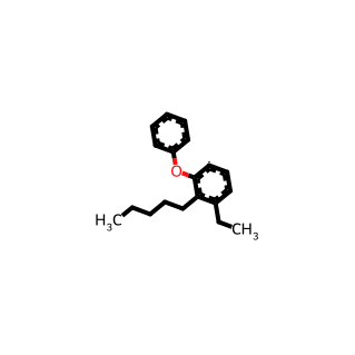 CCCCCc1c(Oc2ccccc2)[c]ccc1CC